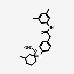 Cc1cc(C)cc(NC(=O)Cc2ccc(OC3(OC=O)CCCC(C)C3)cc2)c1